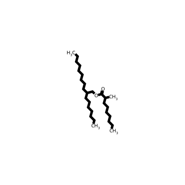 CCCCCCCCCC(CCCCCCC)COC(=O)C(C)CCCCCCC